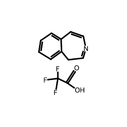 C1=Cc2ccccc2CC=N1.O=C(O)C(F)(F)F